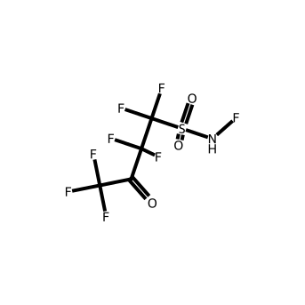 O=C(C(F)(F)F)C(F)(F)C(F)(F)S(=O)(=O)NF